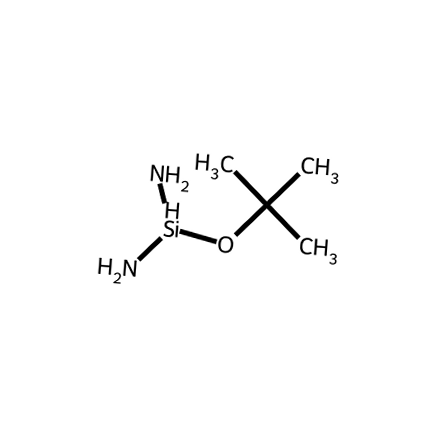 CC(C)(C)O[SiH](N)N